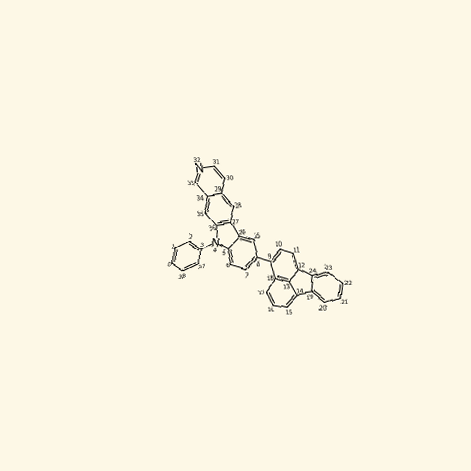 c1ccc(-n2c3ccc(-c4ccc5c6c(cccc46)-c4ccccc4-5)cc3c3cc4ccncc4cc32)cc1